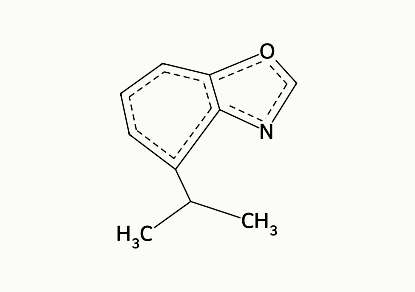 CC(C)c1cccc2ocnc12